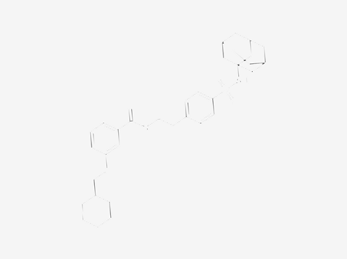 O=C(NCCc1ccc(S(=O)(=O)NC23CC4CC(CC(C4)C2)C3)cc1)c1cccc(OCC2CCCCC2)c1